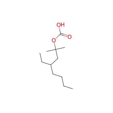 CCCCC(CC)CC(C)(C)OC(=O)O